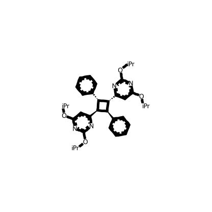 CC(C)Oc1cc([C@H]2[C@H](c3ccccc3)[C@H](c3cc(OC(C)C)nc(OC(C)C)n3)[C@H]2c2ccccc2)nc(OC(C)C)n1